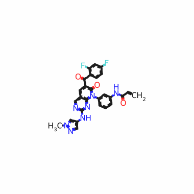 C=CC(=O)Nc1cccc(-n2c(=O)c(C(=O)c3ccc(F)cc3F)cc3cnc(Nc4cnn(C)c4)nc32)c1